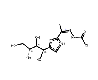 C/C(=N/NC(=O)O)c1nc([C@@H](O)[C@H](O)[C@H](O)CO)c[nH]1